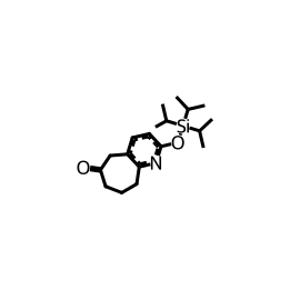 CC(C)[Si](Oc1ccc2c(n1)CCCC(=O)C2)(C(C)C)C(C)C